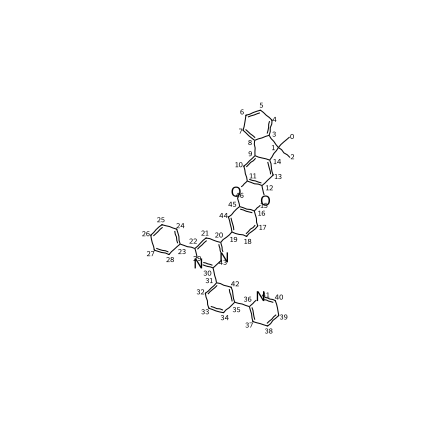 CC1(C)c2ccccc2-c2cc3c(cc21)Oc1ccc(-c2cc(-c4ccccc4)nc(-c4cccc(-c5ccccn5)c4)n2)cc1O3